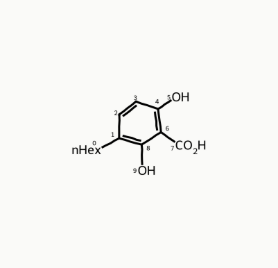 CCCCCCc1ccc(O)c(C(=O)O)c1O